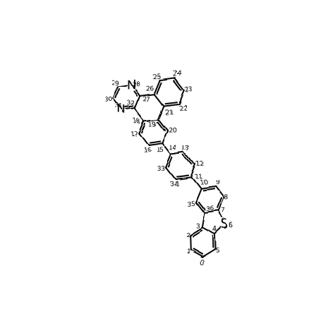 c1ccc2c(c1)sc1ccc(-c3ccc(-c4ccc5c(c4)c4ccccc4c4nccnc54)cc3)cc12